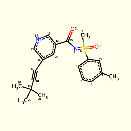 Cc1cccc(S(C)(=O)=NC(=O)c2cncc(C#CC(C)(C)C)c2)c1